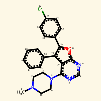 CN1CCN(c2ncnc3oc(-c4ccc(Br)cc4)c(-c4ccccc4)c23)CC1